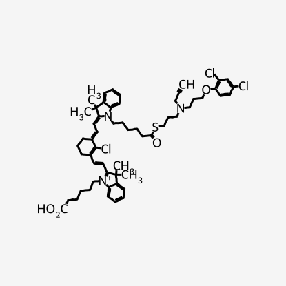 C#CCN(CCCOc1ccc(Cl)cc1Cl)CCCSC(=O)CCCCCN1/C(=C\C=C2/CCCC(/C=C/C3=[N+](CCCCCC(=O)O)c4ccccc4C3(C)C)=C2Cl)C(C)(C)c2ccccc21